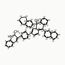 CC1Nc2ccccc2C=C1c1ccc(C2=CC3C(=C(c4ccc5ccccc5c4)c4ccccc4C3(C)c3ccc4c(c3)CCC=C4)C=C2)cn1